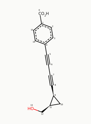 O=C(O)c1ccc(C#CC#C[C@H]2C[C@H]2CO)cc1